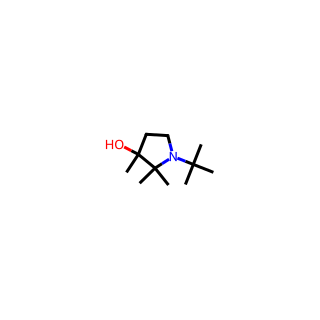 CC(C)(C)N1CCC(C)(O)C1(C)C